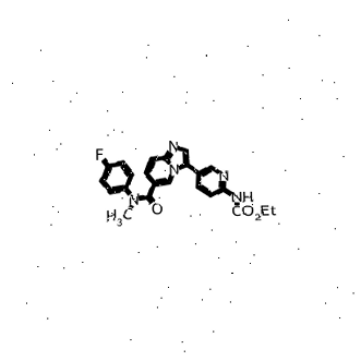 CCOC(=O)Nc1ccc(-c2cnc3ccc(C(=O)N(C)c4ccc(F)cc4)cn23)cn1